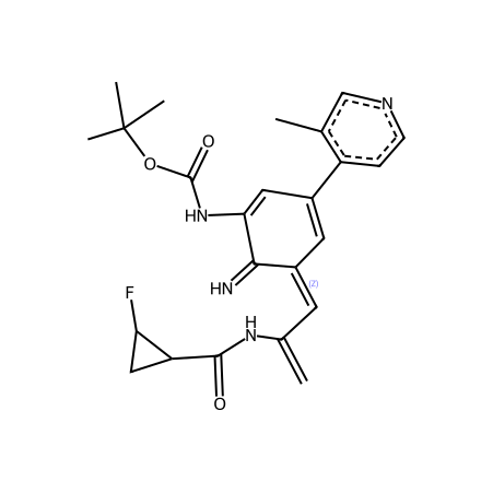 C=C(/C=C1/C=C(c2ccncc2C)C=C(NC(=O)OC(C)(C)C)C1=N)NC(=O)C1CC1F